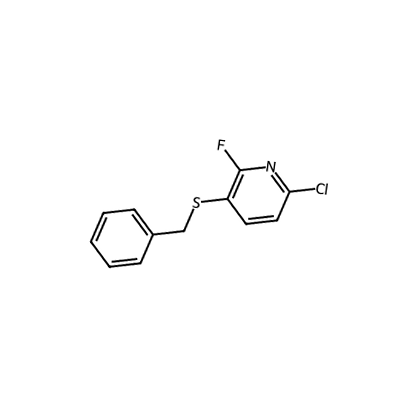 Fc1nc(Cl)ccc1SCc1ccccc1